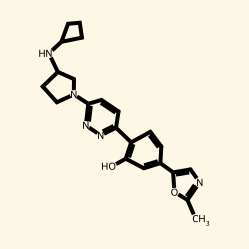 Cc1ncc(-c2ccc(-c3ccc(N4CCC(NC5CCC5)C4)nn3)c(O)c2)o1